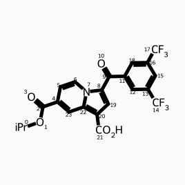 CC(C)OC(=O)c1ccn2c(C(=O)c3cc(C(F)(F)F)cc(C(F)(F)F)c3)cc(C(=O)O)c2c1